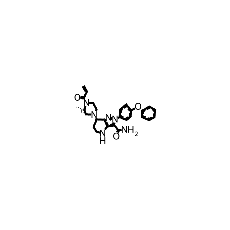 C=CC(=O)N1CCN(C2CCNc3c2nn(-c2ccc(Oc4ccccc4)cc2)c3C(N)=O)C[C@@H]1C